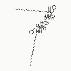 CCCCCCCCCCCCCCCCCCN[C@@H](Cc1ccccc1)C(=O)NNC(=O)c1ccc(C(=O)NNC(=O)[C@H](Cc2ccccc2)NCCCCCCCCCCCCCCCCCC)o1